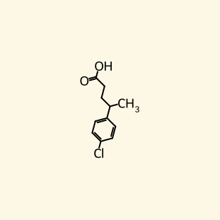 CC(CCC(=O)O)c1ccc(Cl)cc1